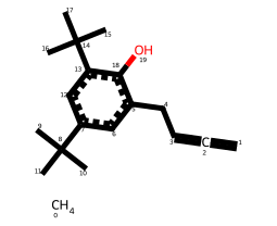 C.C=C=CCc1cc(C(C)(C)C)cc(C(C)(C)C)c1O